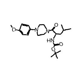 COc1ccc(N2CCN(C(=O)C(CC(C)C)NC(=O)OC(C)(C)C)CC2)cc1